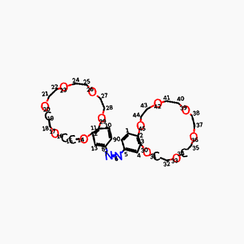 c1cc2c(cc1/N=N\c1ccc3c(c1)OCCOCCOCCOCCOCCO3)OCCOCCOCCOCCOCCO2